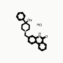 Cl.O=c1[nH]c2cc(CN3CCC(O)(c4ccccc4)CC3)ccc2c2ccccc12